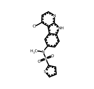 CN(c1ccc2[nH]c3nccc(Cl)c3c2c1)S(=O)(=O)c1cccs1